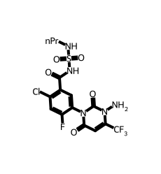 CCCNS(=O)(=O)NC(=O)c1cc(-n2c(=O)cc(C(F)(F)F)n(N)c2=O)c(F)cc1Cl